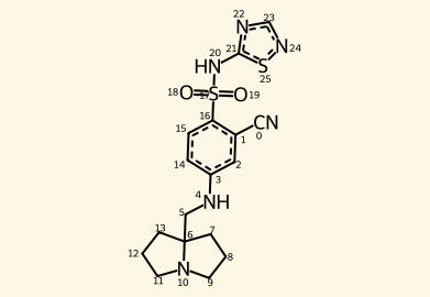 N#Cc1cc(NCC23CCCN2CCC3)ccc1S(=O)(=O)Nc1ncns1